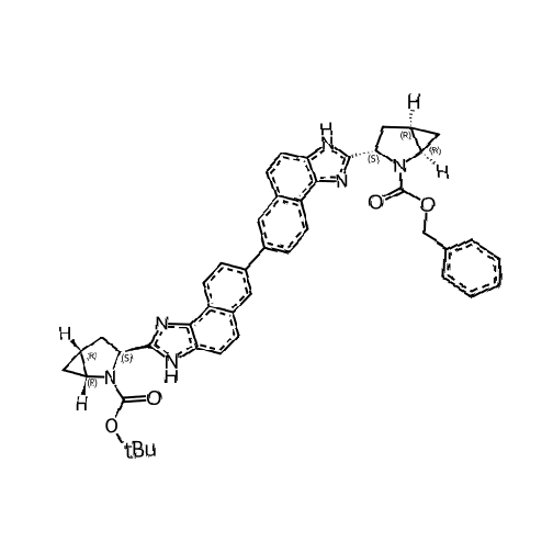 CC(C)(C)OC(=O)N1[C@@H]2C[C@@H]2C[C@H]1c1nc2c(ccc3cc(-c4ccc5c(ccc6[nH]c([C@@H]7C[C@H]8C[C@H]8N7C(=O)OCc7ccccc7)nc65)c4)ccc32)[nH]1